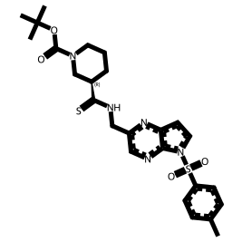 Cc1ccc(S(=O)(=O)n2ccc3nc(CNC(=S)[C@@H]4CCCN(C(=O)OC(C)(C)C)C4)cnc32)cc1